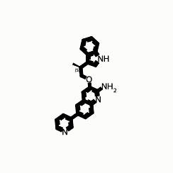 C[C@H](COc1cc2cc(-c3cccnc3)ccc2nc1N)c1c[nH]c2ccccc12